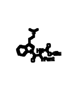 CCCCCC(NC(=O)OC(C)(C)C)C(=O)n1cc(CCN(C)C)c2ccccc21